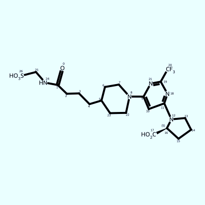 O=C(CCCC1CCN(c2cc(N3CCC[C@H]3C(=O)O)nc(C(F)(F)F)n2)CC1)NCS(=O)(=O)O